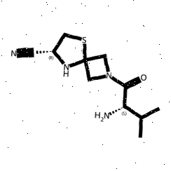 CC(C)[C@H](N)C(=O)N1CC2(C1)N[C@H](C#N)CS2